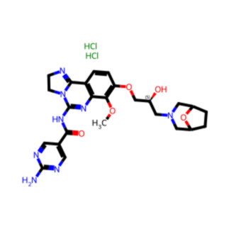 COc1c(OC[C@@H](O)CN2CC3CCC(C2)O3)ccc2c1N=C(NC(=O)c1cnc(N)nc1)N1CCN=C21.Cl.Cl